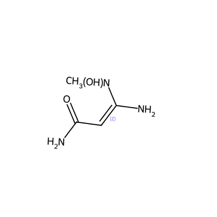 CN(O)/C(N)=C\C(N)=O